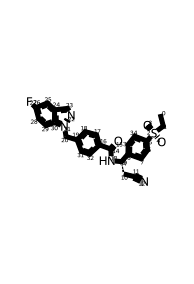 CCS(=O)(=O)c1ccc([C@H](CC#N)NC(=O)c2ccc(Cn3ncc4cc(F)ccc43)cc2)cc1